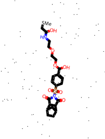 CSCC(O)NCCOCCOC(O)C1=CCC(S(=O)(=O)N2C(=O)C3C4CCC(C4)C3C2=O)C=C1